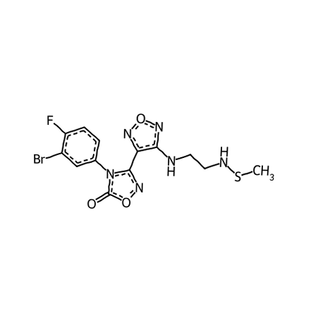 CSNCCNc1nonc1-c1noc(=O)n1-c1ccc(F)c(Br)c1